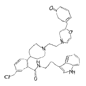 O=C1C=CC=C(C2=CN(CCN3CCC(c4ccc(Cl)cc4C(=O)NCCc4c[nH]c5ccccc45)CC3)C=CO2)C1